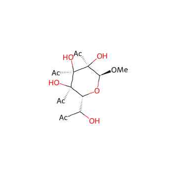 CO[C@H]1O[C@H](C(O)C(C)=O)[C@](O)(C(C)=O)[C@](O)(C(C)=O)[C@]1(O)C(C)=O